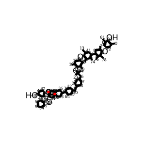 Cc1cc(Oc2c(C)cc(-c3cc(C)c(Oc4cc(C)c(OC(C)(C)Cc5ccc(Cc6ccc(-c7ccc(COc8ccc(O)cc8P(=O)(c8ccccc8)c8ccccc8)cc7)cc6)cc5)c(C)c4)c(C)c3C)c(C)c2C)cc(C)c1O